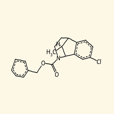 C[C@H]1C2CCN(C(=O)OCc3ccccc3)C1c1cc(Cl)ccc12